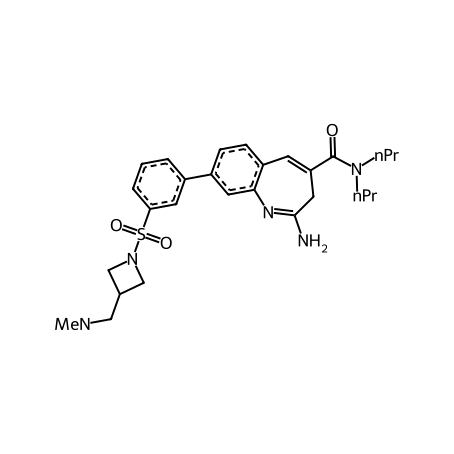 CCCN(CCC)C(=O)C1=Cc2ccc(-c3cccc(S(=O)(=O)N4CC(CNC)C4)c3)cc2N=C(N)C1